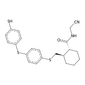 N#CCNC(=O)[C@@H]1CCCC[C@H]1CSc1ccc(Sc2ccc(S)cc2)cc1